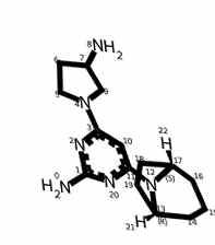 Nc1nc(N2CCC(N)C2)cc(N2[C@@H]3CCC[C@H]2CC3)n1